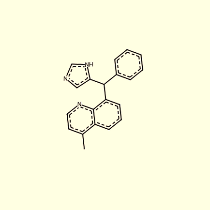 Cc1ccnc2c(C(c3ccccc3)c3cnc[nH]3)cccc12